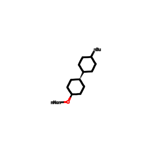 CCCCCCCCCO[C@H]1CC[C@H](C2CCC(CCCC)CC2)CC1